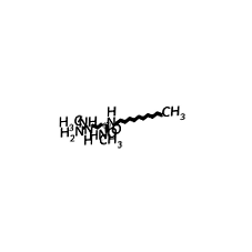 CCCCCCCCCCCC(=O)N[C@@H](CCCNC(N)NC)C(=O)NC